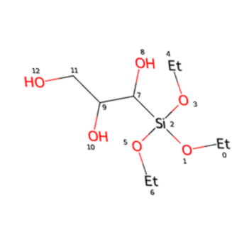 CCO[Si](OCC)(OCC)C(O)C(O)CO